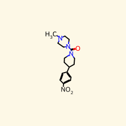 CN1CCN(C(=O)N2CCC(c3ccc([N+](=O)[O-])cc3)CC2)CC1